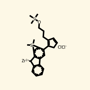 C[Si](C)(C)OCCCC1=C(c2cc3c(c4c2[Si]4(C)C)[CH]([Zr+2])c2ccccc2-3)CC=C1.[Cl-].[Cl-]